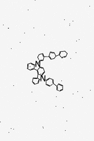 C1=CC(C2C=CC(C3=CCCC(n4c5ccccc5c5c6c7ccccc7n(-c7ccc(-c8ccccc8)cc7)c6ccc54)=C3)=CC2)=CCC1